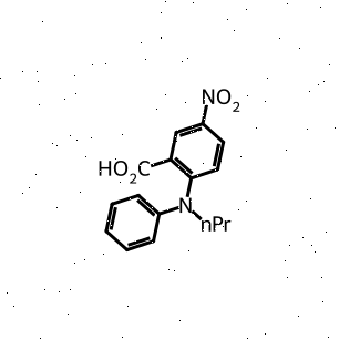 CCCN(c1ccccc1)c1ccc([N+](=O)[O-])cc1C(=O)O